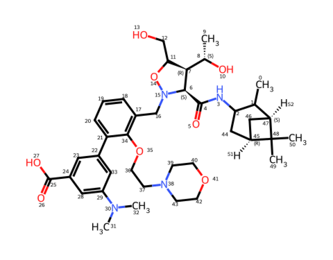 CC1C(NC(=O)[C@@H]2[C@H]([C@H](C)O)C(CO)ON2Cc2cccc(-c3cc(C(=O)O)cc(N(C)C)c3)c2OCCN2CCOCC2)C[C@H]2C[C@@H]1C2(C)C